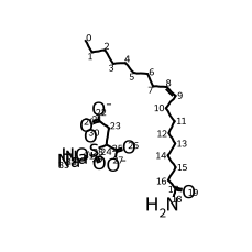 CCCCCCCC/C=C\CCCCCCCC(N)=O.O=C([O-])CC(C(=O)[O-])S(=O)(=O)O.[Na+].[Na+]